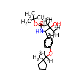 [2H]C([2H])([2H])C(O)(C(NC(=O)OC(C)(C)C)c1ccc(OC([2H])([2H])C2(C)CCCC2)cc1)C([2H])([2H])[2H]